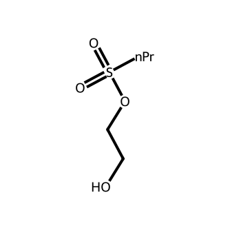 CCCS(=O)(=O)OCCO